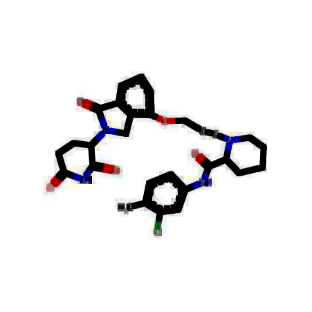 Cc1ccc(NC(=O)C2CCCCN2CCCOc2cccc3c2CN(C2CCC(=O)NC2=O)C3=O)cc1Cl